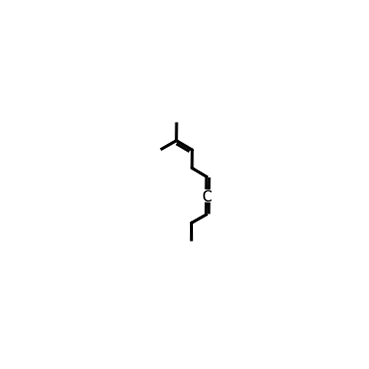 CCC=C=CCC=C(C)C